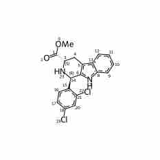 COC(=O)[C@@H]1Cc2c([nH]c3ccccc23)[C@@H](c2ccc(Cl)cc2Cl)N1